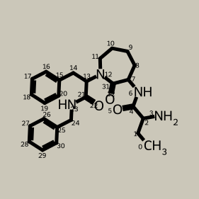 CCC(N)C(=O)NC1CCCCN(C(Cc2ccccc2)C(=O)NCc2ccccc2)C1=O